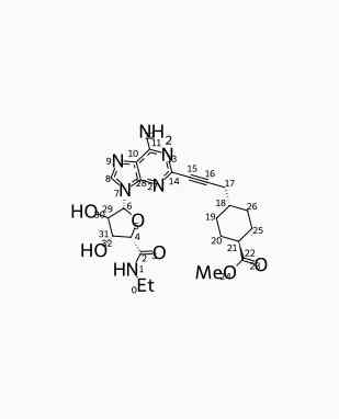 CCNC(=O)[C@H]1O[C@@H](n2cnc3c(N)nc(C#CC[C@H]4CC[C@H](C(=O)OC)CC4)nc32)C(O)[C@H]1O